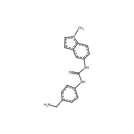 Cn1ccc2cc(NC(=O)Nc3ccc(CN)cc3)ccc21